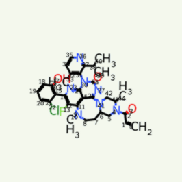 C=CC(=O)N1CC2CCN(C)c3c(F)c(-c4c(O)cccc4Cl)nc4c3c(nc(=O)n4-c3c(C)ccnc3C(C)C)N2CC1C